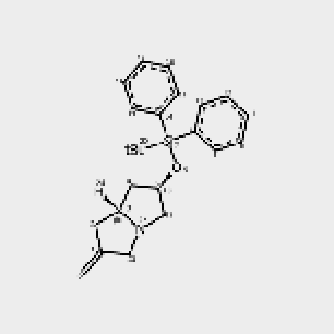 C=C1C[C@@H]2C[C@@H](O[Si](c3ccccc3)(c3ccccc3)C(C)(C)C)CN2C1